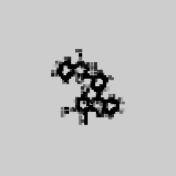 CC(C)[C@@H]1CC(=O)N(C(c2ccccc2)c2cccc(C(=O)N[C@@H](C)c3ccccc3)c2)C(=N)N1